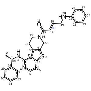 C[C@@H](Nc1ncnc2sc3c(c12)CCN(C(=O)/C=C/CNc1ccccc1)C3)c1ccccc1